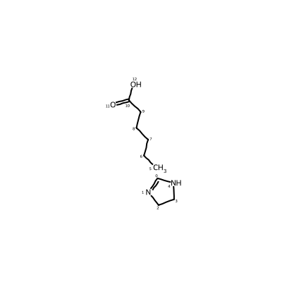 C1=NCCN1.CCCCCC(=O)O